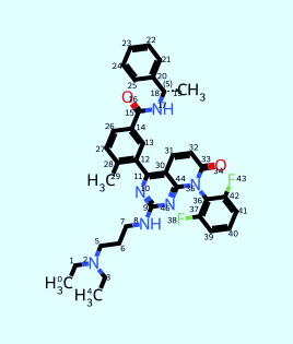 CCN(CC)CCCNc1nc(-c2cc(C(=O)N[C@@H](C)c3ccccc3)ccc2C)c2ccc(=O)n(-c3c(F)cccc3F)c2n1